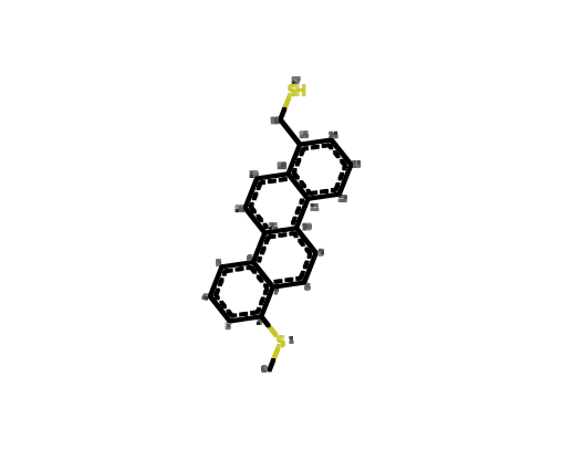 CSc1cccc2c1ccc1c3cccc(CS)c3ccc21